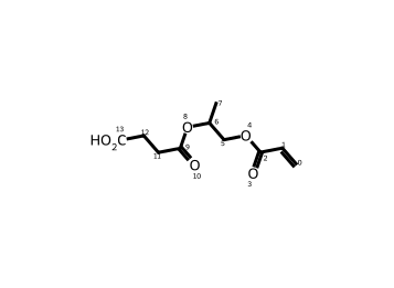 C=CC(=O)OCC(C)OC(=O)CCC(=O)O